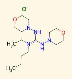 CCCC[N+](CC)=C(NN1CCOCC1)NN1CCOCC1.[Cl-]